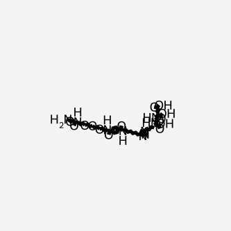 NOCC(=O)NCCOCCOCCOCCNC(=O)c1ccc(C(=O)NCCCCCCc2cn(CCCC[C@H](NC(=O)N[C@@H](CCC(=O)O)C(=O)O)C(=O)O)nn2)cc1